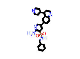 Nc1ncc(-c2ccc3nccc(-c4ccncc4)c3c2)cc1S(=O)(=O)NCc1ccccc1